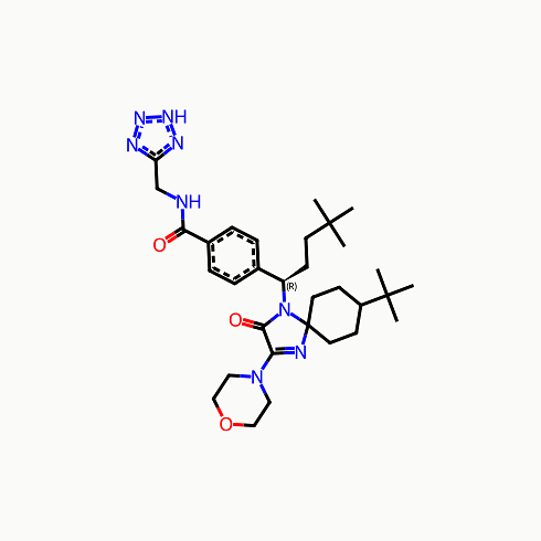 CC(C)(C)CC[C@H](c1ccc(C(=O)NCc2nn[nH]n2)cc1)N1C(=O)C(N2CCOCC2)=NC12CCC(C(C)(C)C)CC2